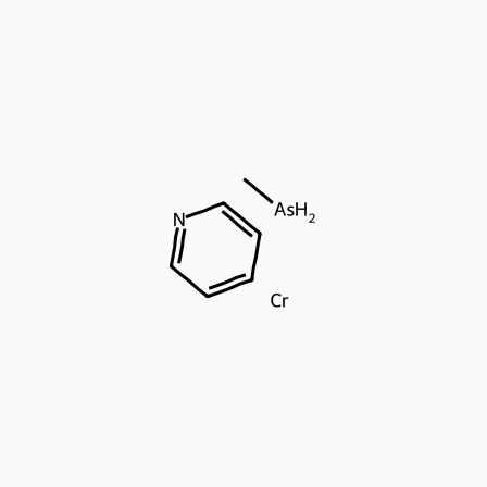 C[AsH2].[Cr].c1ccncc1